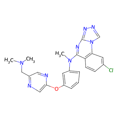 CN(C)Cc1cnc(Oc2cccc(N(C)c3nc4nncn4c4cc(Cl)ccc34)c2)cn1